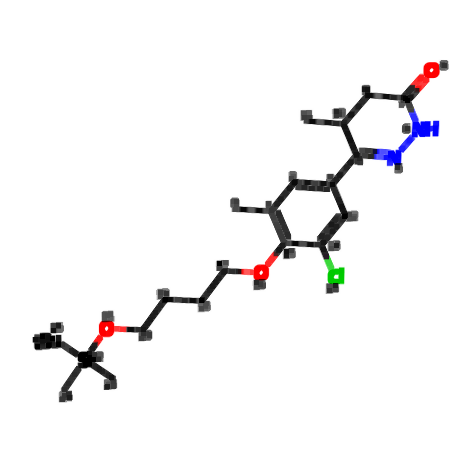 Cc1cc(C2=NNC(=O)CC2C)cc(Cl)c1OCCCCO[Si](C)(C)C(C)(C)C